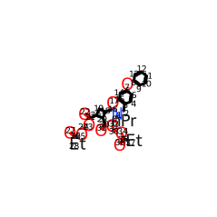 CCCN(Cc1ccc(Oc2ccccc2)cc1)C(=O)C1CC(C(=O)OCOC(=O)CC)C1C(=O)OCOC(=O)CC